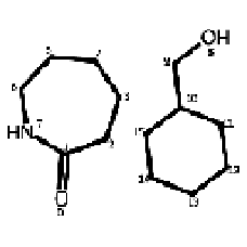 O=C1CCCCCN1.OCC1CCCCC1